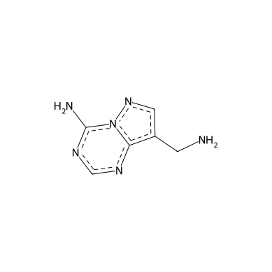 NCc1cnn2c(N)ncnc12